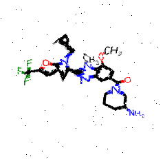 COc1cc(C(=O)N2CCCC(N)C2)cc2nc(-c3cc4cc(C(F)(F)F)oc4n3CC3CC3)n(C)c12